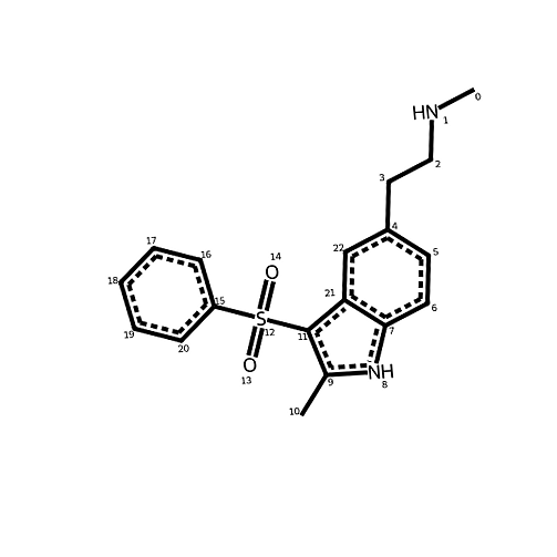 CNCCc1ccc2[nH]c(C)c(S(=O)(=O)c3ccccc3)c2c1